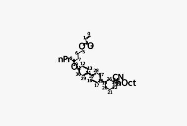 C=CC(=O)OCCCC(CCC)Oc1ccc(-c2ccc(C3CCCC(C#N)(CCCCCCCC)C3)cc2)cc1